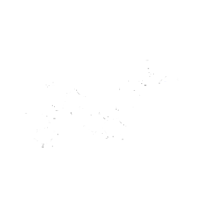 COc1ncc(-c2ccc3ncnc(N4CCC5(CN(C(=O)/C=C/C(C)=O)C5)C4)c3c2)cc1NS(=O)(=O)c1c(F)cccc1F